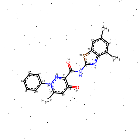 Cc1cc(C)c2nc(NC(=O)c3nn(-c4ccccc4)c(C)cc3=O)sc2c1